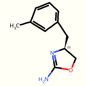 Cc1cccc(C[C@H]2COC(N)=N2)c1